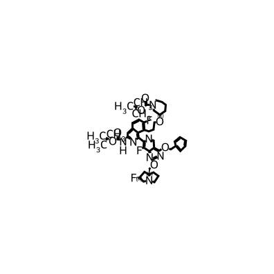 CC(C)(C)OC(=O)Nc1cc2ccc(F)c(CCCO[C@@H]3CCCCN(C(=O)OC(C)(C)C)C3)c2c(-c2ncc3c(OCc4ccccc4)nc(OC[C@@]45CCCN4C[C@H](F)C5)nc3c2F)n1